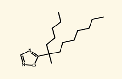 CCCCCCCC(C)(CCCCC)c1ncno1